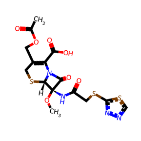 CO[C@@]1(NC(=O)CSc2nncs2)C(=O)N2C(C(=O)O)=C(COC(C)=O)CS[C@H]21